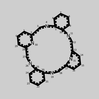 c1cc2cnc3ccccc3ncc3cccc(cnc4ccccc4ncc(c1)n2)n3